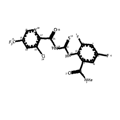 CNC(=O)c1cc(F)cc(F)c1NC(=S)NC(=O)c1ncc(C(F)(F)F)cc1Cl